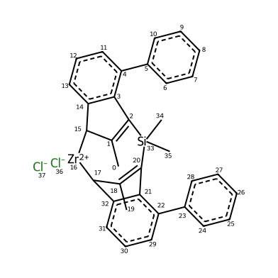 CC1=C2c3c(-c4ccccc4)cccc3[CH]1[Zr+2][CH]1C(C)=C(c3c(-c4ccccc4)cccc31)[Si]2(C)C.[Cl-].[Cl-]